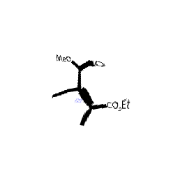 CCOC(=O)/C(C)=C(/C)C(=O)OC